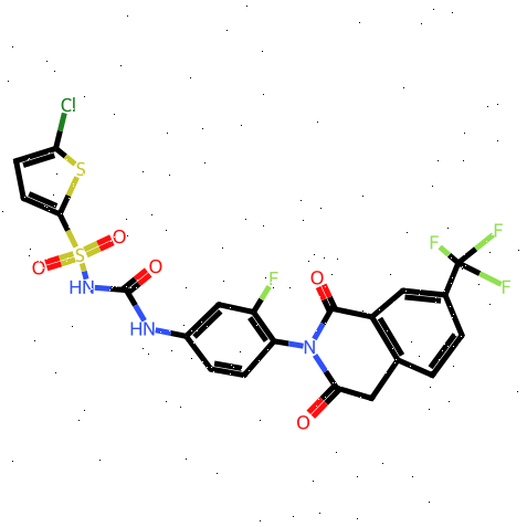 O=C(Nc1ccc(N2C(=O)Cc3ccc(C(F)(F)F)cc3C2=O)c(F)c1)NS(=O)(=O)c1ccc(Cl)s1